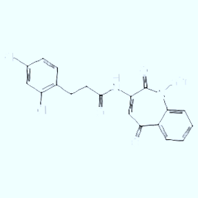 CCCn1c(=O)c(NC(=O)CCc2ccc(Cl)cc2Cl)cc(=O)c2ccccc21